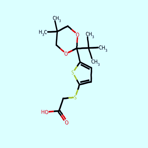 CC1(C)COC(c2ccc(SCC(=O)O)s2)(C(C)(C)C)OC1